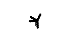 CC/C=C/CCCC[PH](CCCC/C=C/CC)(CCCC/C=C/CC)CCCC/C=C/CC